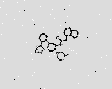 CC(C)CN(CC(C)C)c1ccc(-c2ccccc2-c2nnn[nH]2)cc1NC(=O)Cc1cccc2ccccc12